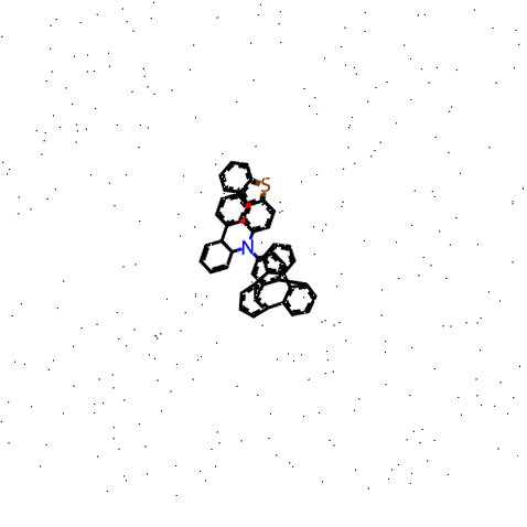 C1=CC(c2ccccc2)C(N(c2ccc3c(c2)-c2c4cccc2-c2cccc-3c2-c2ccccc2-4)c2ccc3sc4ccccc4c3c2)C=C1